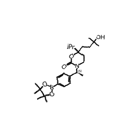 CC(C)C1(CCC(C)(C)O)CCN([C@@H](C)c2ccc(B3OC(C)(C)C(C)(C)O3)cc2)C(=O)O1